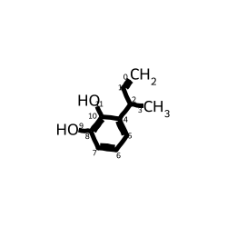 C=CC(C)c1cccc(O)c1O